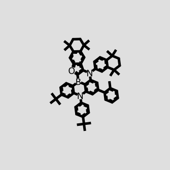 Cc1ccccc1-c1cc2c3c(c1)N(c1ccc4c(c1)C(C)(C)CCC4(C)C)c1c(oc4cc5c(cc14)C(C)(C)CCC5(C)C)B3c1ccc(C(C)(C)C)cc1N2c1ccc(C(C)(C)C)cc1